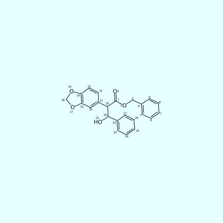 O=C(OCc1ccccc1)C(c1ccc2c(c1)OCO2)C(O)c1ccccc1